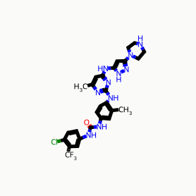 Cc1cc(Nc2cc(N3CCNCC3)n[nH]2)nc(Nc2ccc(NC(=O)Nc3ccc(Cl)c(C(F)(F)F)c3)cc2C)n1